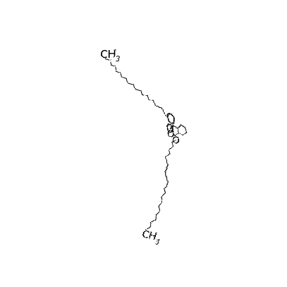 CCCCCCCCCCCCCCCCCCCCOC(=O)C1CCCCC1C(=O)OCCCCCCCCCCCCCCCCCCCC